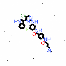 CN(C)C/C=C/C(=O)Nc1ccc(C(=O)N[C@H]2CC(Nc3ncc(Cl)c(-c4c[nH]c5ccccc45)n3)C[C@@H](F)C2)cc1